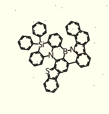 c1ccc([Si]2(c3ccccc3)c3ccccc3N3c4c(cccc42)B2c4c(cc5c(sc6ccccc65)c43)-c3cccc4c5ccc6ccccc6c5n2c34)cc1